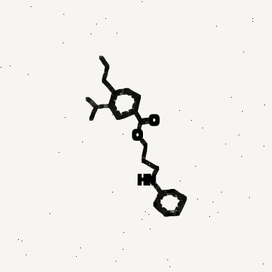 CCCc1ccc(C(=O)OCCCNc2ccccc2)cc1C(C)C